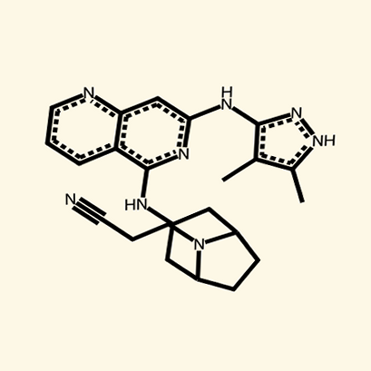 Cc1[nH]nc(Nc2cc3ncccc3c(NC3CC4CCC(C3)N4CCC#N)n2)c1C